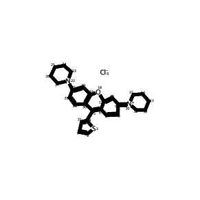 [Cl-].c1csc(-c2c3ccc(=[N+]4CCCCC4)cc-3oc3cc(N4CCCCC4)ccc23)c1